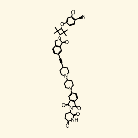 CC1(C)[C@H](Oc2ccc(C#N)c(Cl)c2)C(C)(C)[C@H]1N1Cc2ccc(C#CC3CCN(C4CCN(c5ccc6c(c5)C(=O)N(C5CCC(=O)NC5=O)C6=O)CC4)CC3)cc2C1=O